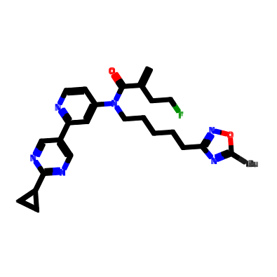 C=C(CCF)C(=O)N(CCCCCc1noc(C(C)(C)C)n1)c1ccnc(-c2cnc(C3CC3)nc2)c1